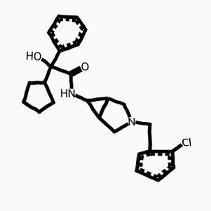 O=C(NC1C2CN(Cc3ccccc3Cl)CC21)C(O)(c1ccccc1)C1CCCC1